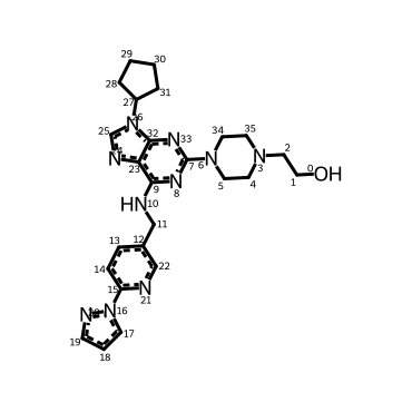 OCCN1CCN(c2nc(NCc3ccc(-n4cccn4)nc3)c3ncn(C4CCCC4)c3n2)CC1